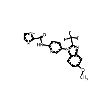 COc1ccc2c(c1)nc(C(F)(F)F)n2-c1ccc(NC(=O)c2ncc[nH]2)nc1